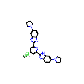 C1=CC2N=C(c3cccc(C4=NC5C=CC(N6CCCC6)=CC5=N4)n3)N=C2C=C1N1CCCC1.[Cl-].[Cl-].[V+2]